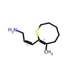 C/C1=C(\C=C/CN)SCCCCC1